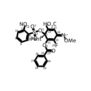 CCCCC[C@@]1(OS(=O)(=O)c2ccccc2[N+](=O)[O-])C(C(=O)O)=CC(=NOC)C(F)=C1OC(=O)c1ccccc1